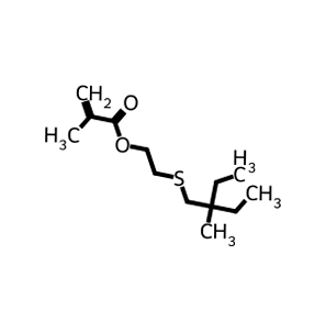 C=C(C)C(=O)OCCSCC(C)(CC)CC